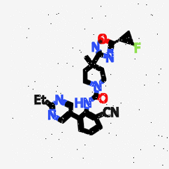 CCc1ncc(-c2cccc(C#N)c2NC(=O)N2CCC(C)(c3noc([C@@H]4C[C@@H]4F)n3)CC2)cn1